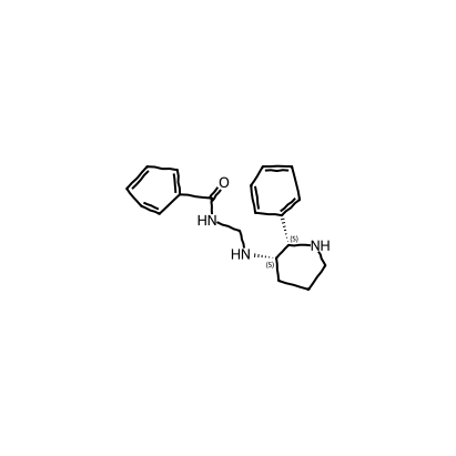 O=C(NCN[C@H]1CCCN[C@H]1c1ccccc1)c1ccccc1